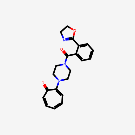 O=C(c1ccccc1C1=NCCO1)N1CCN(c2cccccc2=O)CC1